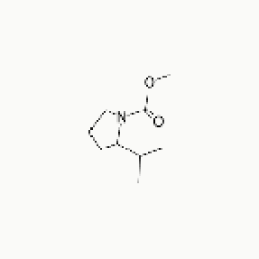 COC(=O)N1CCCC1C(C)C